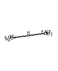 FC(F)(F)C(OCCCCCCCCCCCCNCCCCCCCCCCCCOC(C(F)(F)F)(C(F)(F)F)C(F)(F)F)(C(F)(F)F)C(F)(F)F